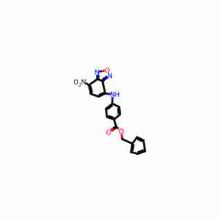 O=C(OCc1ccccc1)c1ccc(Nc2ccc([N+](=O)[O-])c3nonc23)cc1